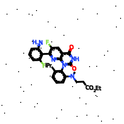 CCOC(=O)CCN(C)c1cccc(C(C)C)c1-n1c(=O)[nH]c(=O)c2cc(F)c(-c3c(N)cccc3F)nc21